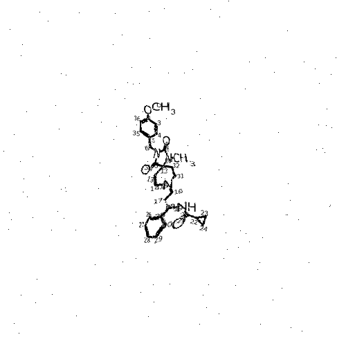 COc1ccc(CN2C(=O)N(C)C3(CCN(CC[C@H](NC(=O)C4CC4)c4ccccc4)CC3)C2=O)cc1